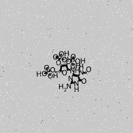 Nc1nc(NC2O[C@H](COP(=O)(O)O)[C@@H](OP(=O)(O)O)[C@H]2OP(=O)(O)O)c(NC=O)c(=O)[nH]1